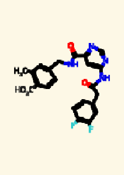 Cc1cc(CNC(=O)c2cc(NC(=O)Cc3ccc(F)c(F)c3)ncn2)ccc1C(=O)O